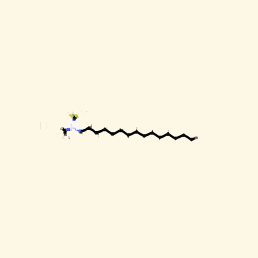 CCCCCCCCCCCCCCCCN(C(=S)S)C(C)C